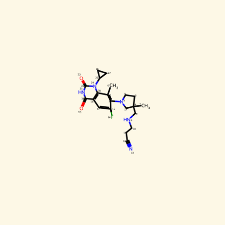 Cc1c(N2CCC(C)(CNCCC#N)C2)c(F)cc2c(=O)[nH]c(=O)n(C3CC3)c12